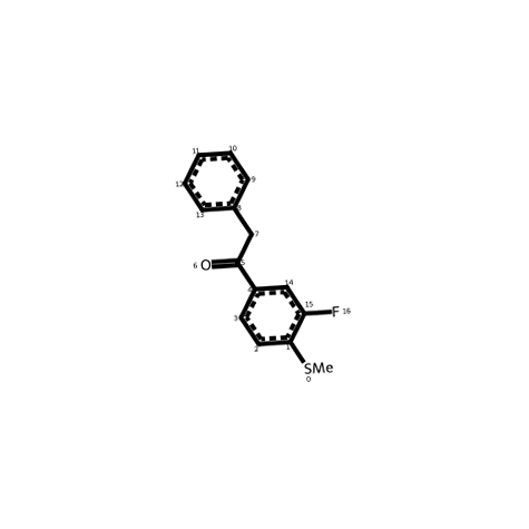 CSc1ccc(C(=O)Cc2ccccc2)cc1F